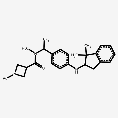 CC(=O)N1CC(C(=O)N(C)C(c2ccc(NC3Cc4ccccc4C3(C)C)cc2)C(F)(F)F)C1